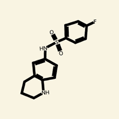 O=S(=O)(Nc1ccc2c(c1)CCCN2)c1ccc(F)cc1